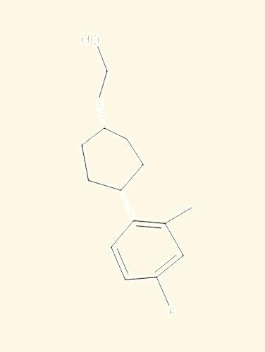 Cc1cc(F)ccc1[C@H]1CC[C@@H](CCO)CC1